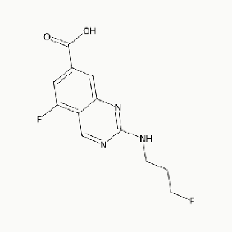 O=C(O)c1cc(F)c2cnc(NCCCF)nc2c1